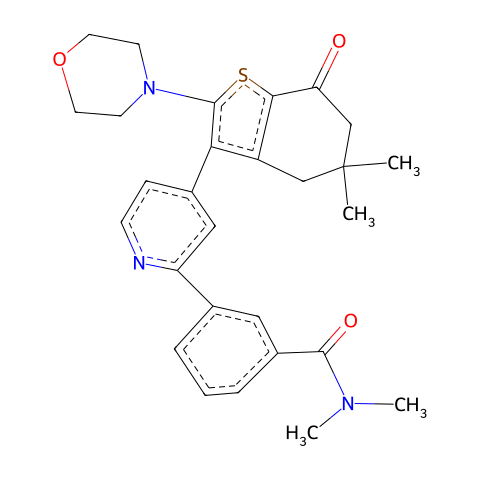 CN(C)C(=O)c1cccc(-c2cc(-c3c(N4CCOCC4)sc4c3CC(C)(C)CC4=O)ccn2)c1